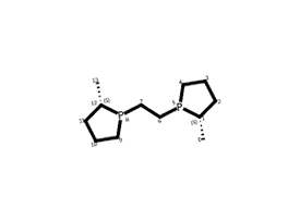 C[C@H]1CCCP1CCP1CCC[C@@H]1C